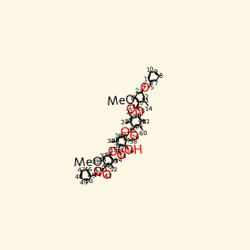 COc1cc(OCc2ccccc2)cc(C)c1C(=O)Oc1c(C)c(C)c(C(=O)Oc2cc(C)c(C(=O)Oc3cc(OC)c(C(=O)OCc4ccccc4)c(C)c3C)c(O)c2C)c(C)c1C